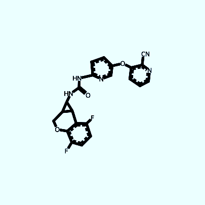 N#Cc1ncccc1Oc1ccc(NC(=O)NC2C3COc4c(F)ccc(F)c4C32)nc1